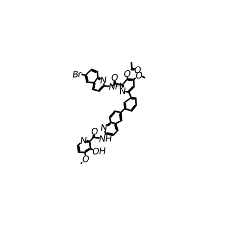 COc1ccnc(C(=O)Nc2ccc3cc(-c4cccc(-c5cc(OC)c(OC(C)=O)c(C(=O)Nc6ccc7cc(Br)ccc7n6)n5)c4)ccc3n2)c1O